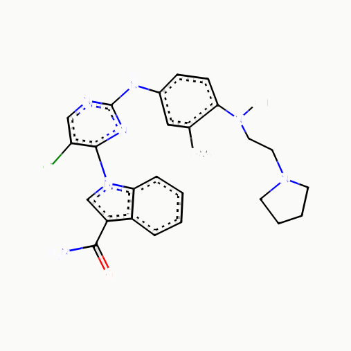 COc1cc(Nc2ncc(Cl)c(-n3cc(C(N)=O)c4ccccc43)n2)ccc1N(C)CCN1CCCC1